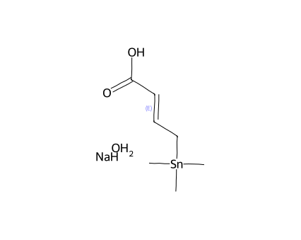 O.[CH3][Sn]([CH3])([CH3])[CH2]/C=C/C(=O)O.[NaH]